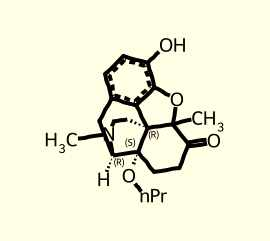 CCCO[C@@]12CCC(=O)C3(C)Oc4c(O)ccc5c4[C@@]31CCN(C)[C@@H]2C5